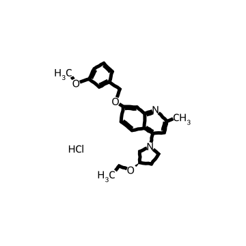 CCO[C@H]1CCN(c2cc(C)nc3cc(OCc4cccc(OC)c4)ccc23)C1.Cl